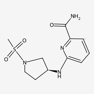 CS(=O)(=O)N1CC[C@H](Nc2cc[c]c(C(N)=O)n2)C1